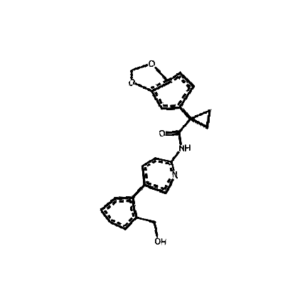 O=C(Nc1ccc(-c2ccccc2CO)cn1)C1(c2ccc3c(c2)OCO3)CC1